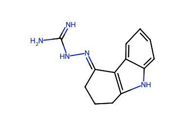 N=C(N)NN=C1CCCc2[nH]c3ccccc3c21